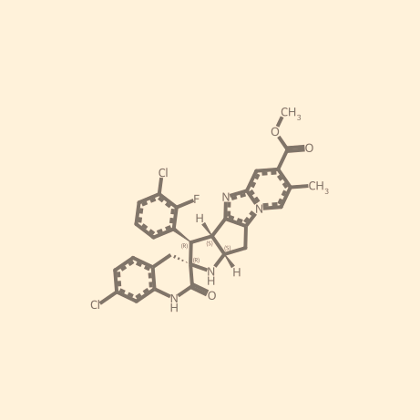 COC(=O)c1cc2nc3c(n2cc1C)C[C@@H]1N[C@]2(Cc4ccc(Cl)cc4NC2=O)[C@@H](c2cccc(Cl)c2F)[C@H]31